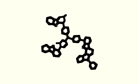 CC1C=c2c(oc3ccccc23)=C(c2ccc(N(C3=CC(C)C(c4cccc5c4oc4ccccc45)C=C3)c3ccc(-c4cccc5c4sc4c5ccc5c4c4ccccc4n5-c4ccccc4)cc3)cc2)C1